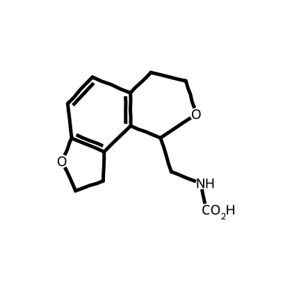 O=C(O)NCC1OCCc2ccc3c(c21)CCO3